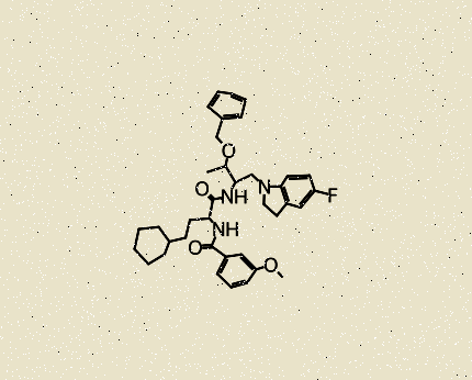 COc1cccc(C(=O)NC(CCC2CCCCC2)C(=O)NC(CN2CCc3cc(F)ccc32)C(C)OCc2ccccc2)c1